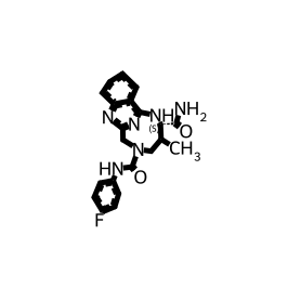 CC1CN(C(=O)Nc2ccc(F)cc2)Cc2nc(c3ccccc3n2)N[C@@H]1C(N)=O